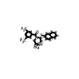 Cl.O=C(c1cc(C(F)(F)F)cc(C(F)(F)F)c1)N1CCNC[C@H]1Cc1ccc2ccccc2c1